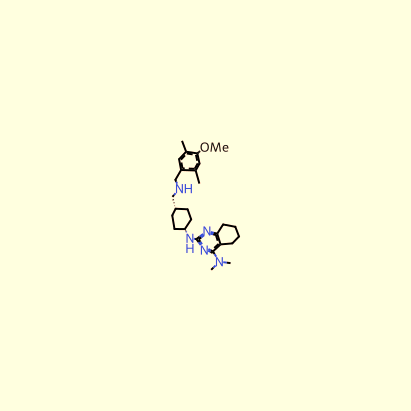 COc1cc(C)c(CNC[C@H]2CC[C@@H](Nc3nc4c(c(N(C)C)n3)CCCC4)CC2)cc1C